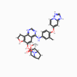 Cc1cc(Nc2ncnc3c4c(c(OC5CC6CCC(C5)N6C(=O)OC(C)(C)C)cc23)OCC4)ccc1Oc1ccn2ncnc2c1